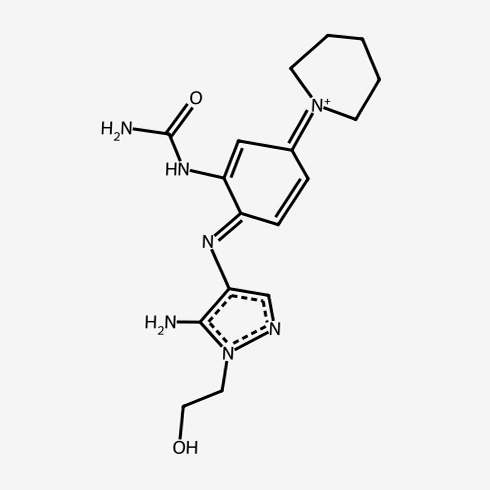 NC(=O)NC1=CC(=[N+]2CCCCC2)C=CC1=Nc1cnn(CCO)c1N